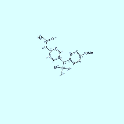 CC[N+](C(C)C)(C(C)C)C(c1ccc(OC)cc1)c1ccc(OC(N)=O)cc1